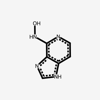 ONc1nccc2[nH]cnc12